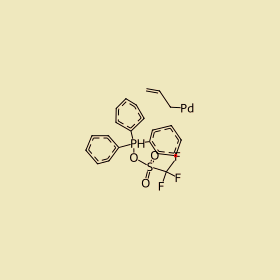 C=C[CH2][Pd].O=S(=O)(O[PH](c1ccccc1)(c1ccccc1)c1ccccc1)C(F)(F)F